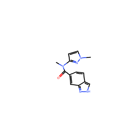 CN(C(=O)c1ccc2c[nH]nc2c1)c1ccn(C)n1